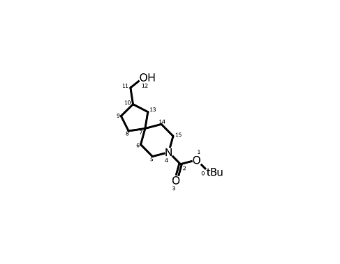 CC(C)(C)OC(=O)N1CCC2(CCC(CO)C2)CC1